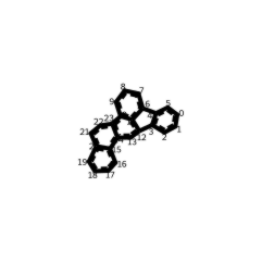 c1ccc2c(c1)-c1cccc3c1c-2cc1c2ccccc2ccc31